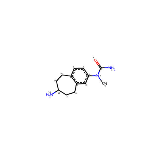 N#CN(C(N)=O)c1ccc2c(c1)CCC(N)CC2